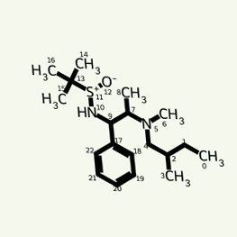 CCC(C)CN(C)C(C)C(N[S+]([O-])C(C)(C)C)c1ccccc1